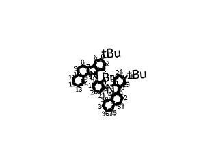 CC(C)(C)c1ccc2c(c1)c1ccc3ccccc3c1n2-c1cccc(-n2c3ccc(C(C)(C)C)cc3c3ccc4ccccc4c32)c1Br